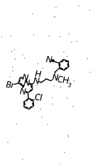 CN(CCCNc1cc(-c2ccccc2Cl)nc2c(Br)cnn12)Cc1ccccc1C#N